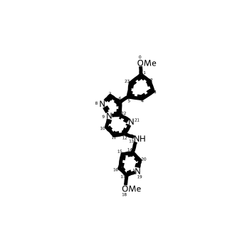 COc1cccc(-c2cnn3ccc(Nc4ccc(OC)nc4)nc23)c1